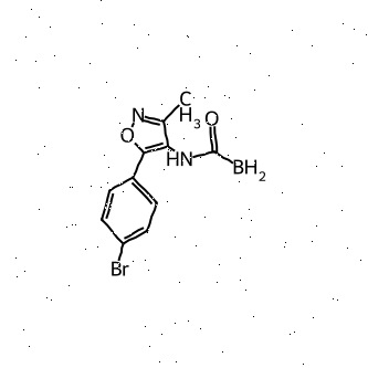 BC(=O)Nc1c(C)noc1-c1ccc(Br)cc1